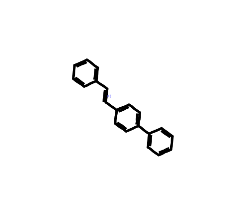 C(=C\c1ccc(-c2ccccc2)cc1)/c1ccccc1